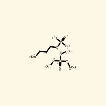 CCCCCCCCCCCCCOP(O)(O)=S.CCCCCCCCOP(=S)(OCCCCCCCC)OCCCCCCCC